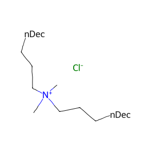 CCCCCCCCCCCCC[N+](C)(C)CCCCCCCCCCCCC.[Cl-]